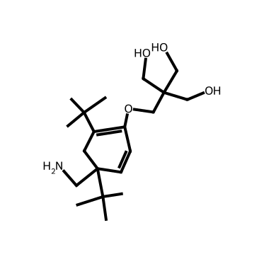 CC(C)(C)C1=C(OCC(CO)(CO)CO)C=CC(CN)(C(C)(C)C)C1